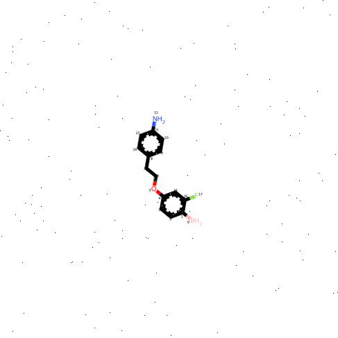 Bc1ccc(OCCc2ccc(N)cc2)cc1F